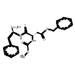 CCOC(=O)[C@H](Cc1ccccc1)NC(=O)[C@H](CC(=O)OCc1ccccc1)NC(=O)OC(C)(C)C